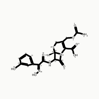 NC(=O)OCC1=C(C(=O)O)N2C(=O)C(NC(=O)C(=NO)c3cccc(O)c3)[C@@H]2SC1